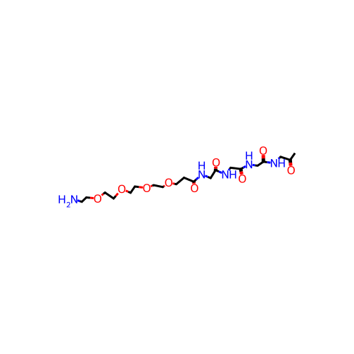 CC(=O)CNC(=O)CNC(=O)CNC(=O)CNC(=O)CCOCCOCCOCCOCCN